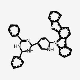 C1=CC(n2c3ccccc3c3ccc4c5ccccc5sc4c32)NC=C1C1N=C(c2ccccc2)NC(c2ccccc2)N1